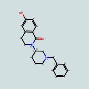 O=C1c2ccc(O)cc2CCN1[C@@H]1CCCN(Cc2ccccc2)C1